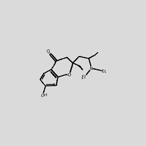 CCN(CC)C(C)CC1(C)CC(=O)c2ccc(O)cc2O1